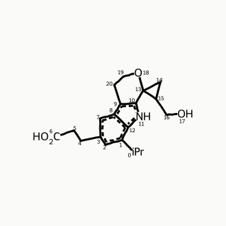 CC(C)c1cc(CCC(=O)O)cc2c3c([nH]c12)C1(CC1CO)OCC3